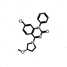 CO[C@@H]1CCN(c2nc(=O)n(-c3ccccc3)c3cc(Cl)ccc23)C1